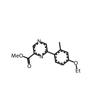 CCOc1ccc(-c2cncc(C(=O)OC)n2)c(C)c1